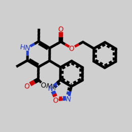 COC(=O)C1=C(C)NC(C)=C(C(=O)OCc2ccccc2)C1c1cccc2nonc12